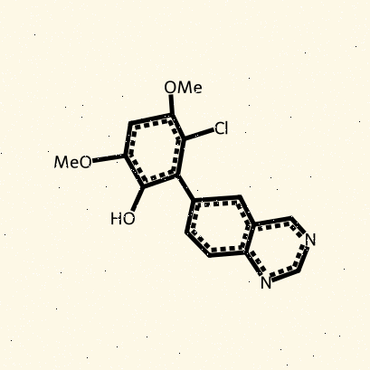 COc1cc(OC)c(Cl)c(-c2ccc3ncncc3c2)c1O